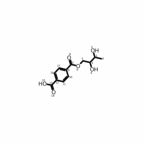 CC(O)C(O)COC(=O)c1ccc(C(=O)O)cc1